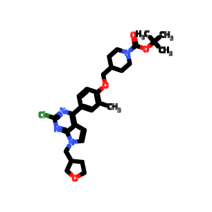 Cc1cc(-c2nc(Cl)nc3c2ccn3CC2CCOC2)ccc1OCC1CCN(C(=O)OC(C)(C)C)CC1